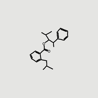 CC(C)Cc1ccccc1C(=O)OC(C(C)C)C(C)c1ccccc1